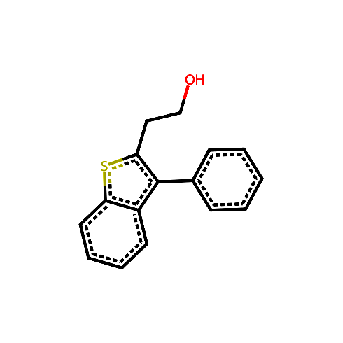 OCCc1sc2ccccc2c1-c1ccccc1